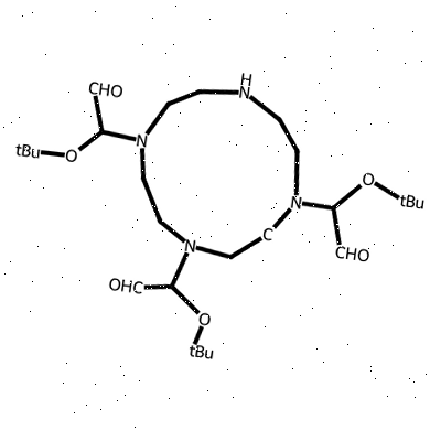 CC(C)(C)OC(C=O)N1CCNCCN(C(C=O)OC(C)(C)C)CCN(C(C=O)OC(C)(C)C)CC1